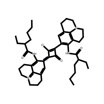 CCCCC(CC)C(=O)Nc1c(C2=C([O-])/C(=c3/cc4c5c(c3NC(=O)C(CC)CCCC)CCC[N+]=5CCC4)C2=O)cc2c3c1CCCN3CCC2